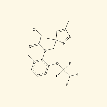 CC1=CC(C)(CN(C(=O)CCl)c2c(C)cccc2OC(F)(F)C(F)F)N=N1